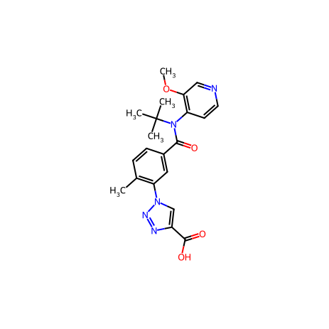 COc1cnccc1N(C(=O)c1ccc(C)c(-n2cc(C(=O)O)nn2)c1)C(C)(C)C